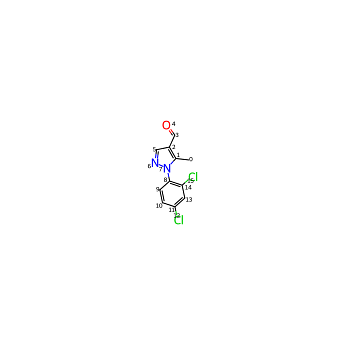 Cc1c(C=O)cnn1-c1ccc(Cl)cc1Cl